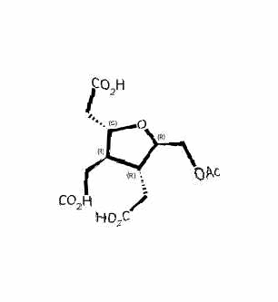 CC(=O)OC[C@@H]1O[C@@H](CC(=O)O)[C@H](CC(=O)O)[C@H]1CC(=O)O